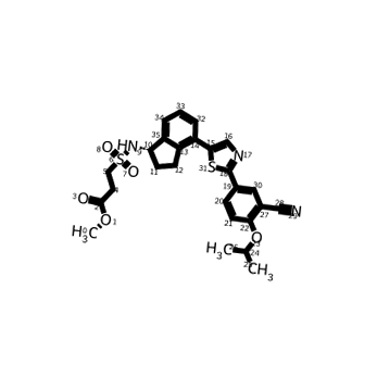 COC(=O)CCS(=O)(=O)N[C@H]1CCc2c(-c3cnc(-c4ccc(OC(C)C)c(C#N)c4)s3)cccc21